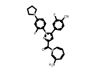 N#Cc1ccc(-c2cc(C(=O)N3C=CC=CC(N)=C3)nn2-c2ccc(N3CCCC3)cc2F)cc1F